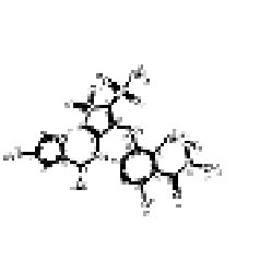 CC[C@@H](NC1=NS(=O)(=O)C(S(N)(=O)=O)=C1Nc1ccc(C(F)(F)F)c(C(=O)N(C)C)c1O)c1cc(C(C)C)co1